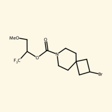 COCC(OC(=O)N1CCC2(CC1)CC(Br)C2)C(F)(F)F